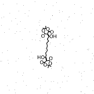 CC1(C)OC(=O)C(=C(O)CCCCCCCCC(O)=C2C(=O)OC(C)(C)OC2=O)C(=O)O1